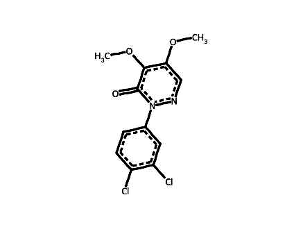 COc1cnn(-c2ccc(Cl)c(Cl)c2)c(=O)c1OC